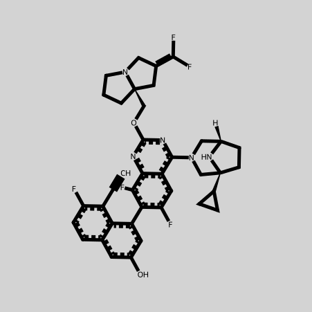 C#Cc1c(F)ccc2cc(O)cc(-c3c(F)cc4c(N5C[C@@H]6CC[C@](C7CC7)(C5)N6)nc(OC[C@@]56CCCN5CC(=C(F)F)C6)nc4c3F)c12